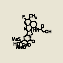 COCc1c(C(O)(C=O)SC)cc2n(c1=O)Cc1c-2nc2cc(F)c(C)c3c2c1C(NC(=O)CO)CC3